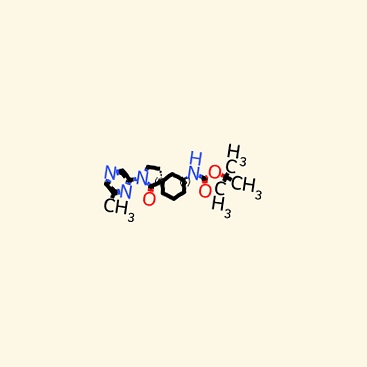 Cc1cncc(N2CC[C@]3(CCC[C@H](NC(=O)OC(C)(C)C)C3)C2=O)n1